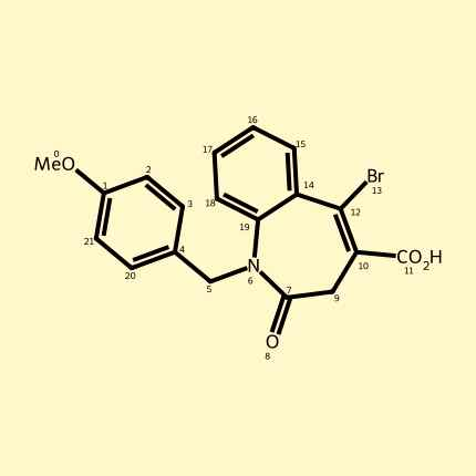 COc1ccc(CN2C(=O)CC(C(=O)O)=C(Br)c3ccccc32)cc1